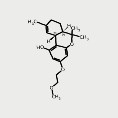 COCCOc1cc(O)c2c(c1)OC(C)(C)[C@@H]1CCC(C)=C[C@@H]21